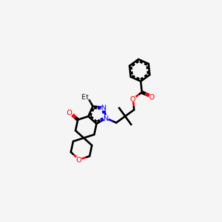 CCc1nn(CC(C)(C)COC(=O)c2ccccc2)c2c1C(=O)CC1(CCOCC1)C2